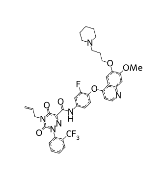 C=CCn1c(=O)c(C(=O)Nc2ccc(Oc3ccnc4cc(OC)c(OCCCN5CCCCC5)cc34)c(F)c2)nn(-c2ccccc2C(F)(F)F)c1=O